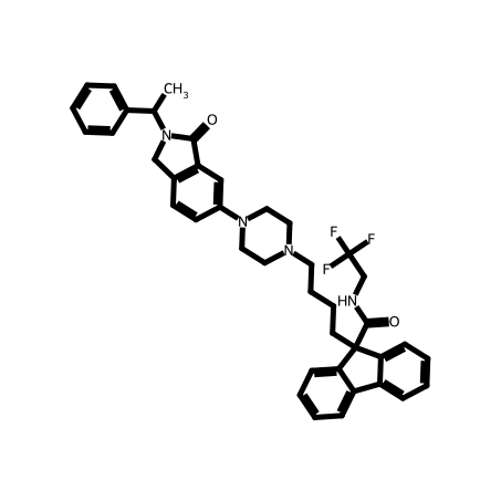 CC(c1ccccc1)N1Cc2ccc(N3CCN(CCCCC4(C(=O)NCC(F)(F)F)c5ccccc5-c5ccccc54)CC3)cc2C1=O